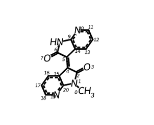 CN1C(=O)/C(=C2/C(=O)Nc3ncccc32)c2cccnc21